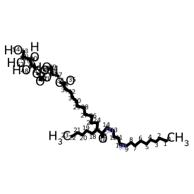 CCCCCCCCC/C=C\CC/C=C\C(=O)C(CCCCCC)CCCCCCCCCCC(=O)OC[C@H](CO)OP(=O)(O)OC[C@@H](O)[C@@H](O)[C@H](O)CO